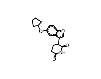 O=C1CCC(c2coc3ccc(OC4CCCC4)cc23)C(=O)N1